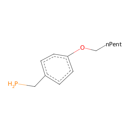 CCCCCCOc1ccc(CP)cc1